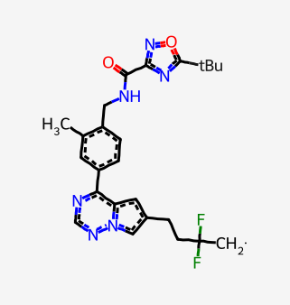 [CH2]C(F)(F)CCc1cc2c(-c3ccc(CNC(=O)c4noc(C(C)(C)C)n4)c(C)c3)ncnn2c1